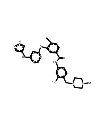 CCN1CCN(Cc2ccc(NC(=O)c3ccc(C)c(Oc4cc(Nc5cn[nH]c5)ncn4)c3)cc2C(F)(F)F)CC1